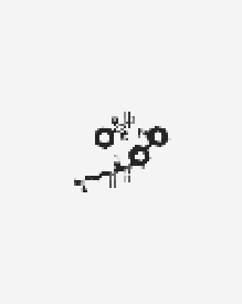 CN(C)CCCNC(=O)Nc1ccc(-c2ccccc2F)cc1.NS(=O)(=O)c1ccccc1